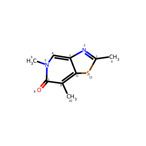 Cc1nc2cn(C)c(=O)c(C)c2s1